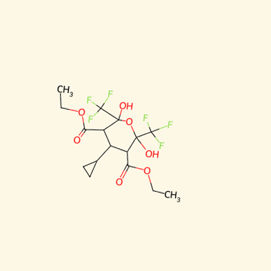 CCOC(=O)C1C(C2CC2)C(C(=O)OCC)C(O)(C(F)(F)F)OC1(O)C(F)(F)F